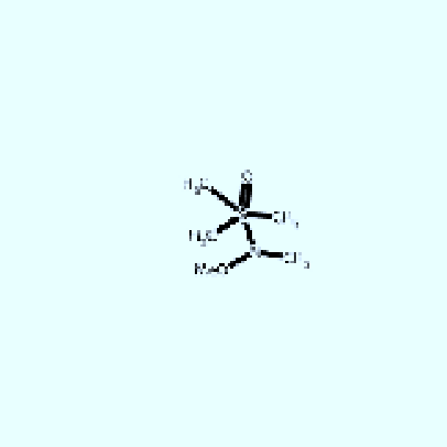 CON(C)S(C)(C)(C)=O